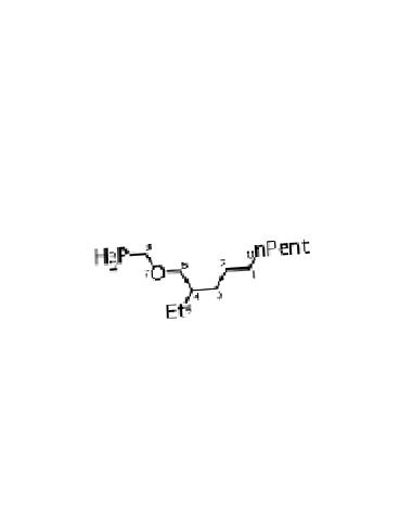 CCCCCCCCC(CC)COCP